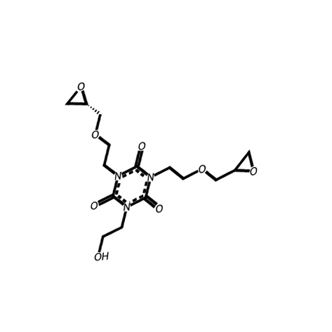 O=c1n(CCO)c(=O)n(CCOC[C@@H]2CO2)c(=O)n1CCOCC1CO1